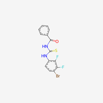 O=C(NC(=S)Nc1ccc(Br)c(F)c1F)c1ccccc1